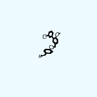 COc1ccc(COc2ccc(CC#N)cc2)cc1-c1cccc(Cl)c1